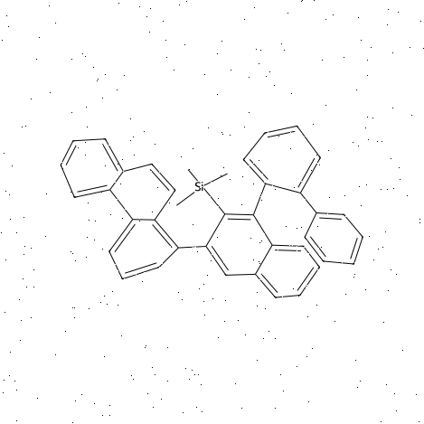 C[Si](C)(C)c1c(-c2cccc3c2ccc2ccccc23)cc2ccccc2c1-c1ccccc1-c1ccccc1